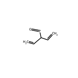 C=CC(C=C)P=O